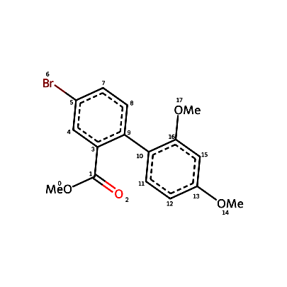 COC(=O)c1cc(Br)ccc1-c1ccc(OC)cc1OC